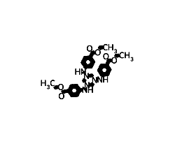 CCOC(=O)c1ccc(NN2CN(Nc3ccc(C(=O)OCC)cc3)CN(Nc3ccc(C(=O)OCC)cc3)C2)cc1